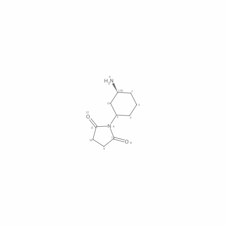 N[C@H]1CCCC(N2C(=O)CCC2=O)C1